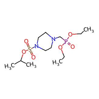 CCOP(=O)(CN1CCN(S(=O)(=O)OC(C)C)CC1)OCC